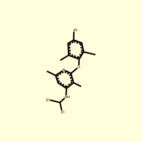 CCC(CC)Nc1cc(C)nc(Oc2c(C)cc(C(C)C)cc2C)c1C